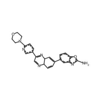 Nc1nc2cc(C3=CC4N=C(c5ccc(N6CCOCC6)nc5)C=NC4C=C3)ccc2o1